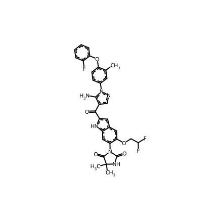 Cc1cc(-n2ncc(C(=O)c3cc4cc(OCC(F)F)c(N5C(=O)NC(C)(C)C5=O)cc4[nH]3)c2N)ccc1Oc1ccccc1F